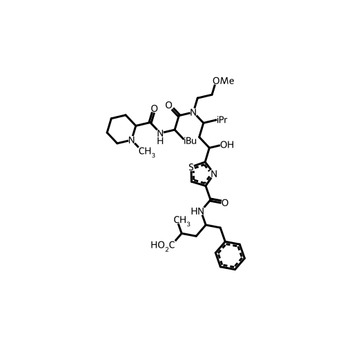 CCC(C)C(NC(=O)C1CCCCN1C)C(=O)N(CCOC)C(CC(O)c1nc(C(=O)NC(Cc2ccccc2)CC(C)C(=O)O)cs1)C(C)C